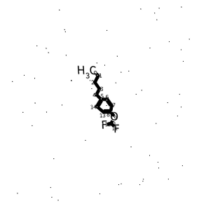 C[CH]CCCc1ccc(OC(F)F)cc1